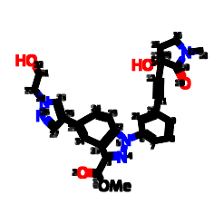 COC(=O)c1nn(-c2cccc(C#C[C@]3(O)CCN(C)C3=O)c2)c2ccc(-c3cnn(CCO)c3)cc12